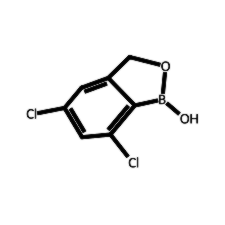 OB1OCc2cc(Cl)cc(Cl)c21